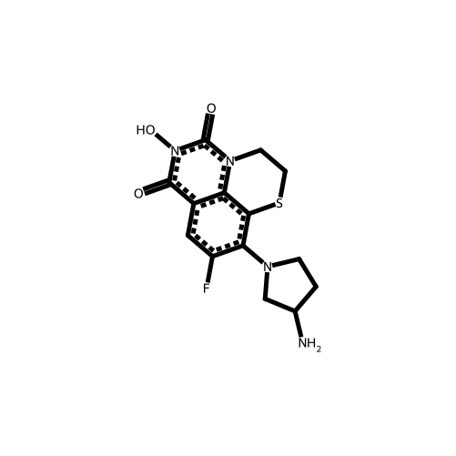 NC1CCN(c2c(F)cc3c(=O)n(O)c(=O)n4c3c2SCC4)C1